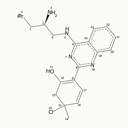 CC(C)C[C@@H](N)CNc1nc(C2=C(O)CC(C)(Cl)C=C2)nc2ccccc12